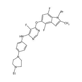 CCN1CCN(c2ccc(Nc3ncnc(Oc4cc(F)c5c(cc(C)n5C(C)C)c4F)c3F)cc2)CC1